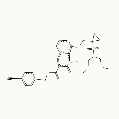 CSCN(CSC)S(=O)(=O)C1(COc2nccc3cc(C(=O)NCc4ccc(C#N)cc4)c(=O)n(C)c23)CC1